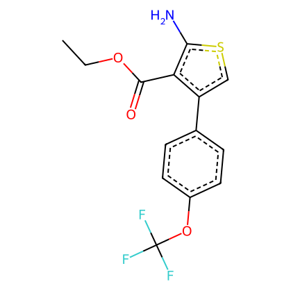 CCOC(=O)c1c(-c2ccc(OC(F)(F)F)cc2)csc1N